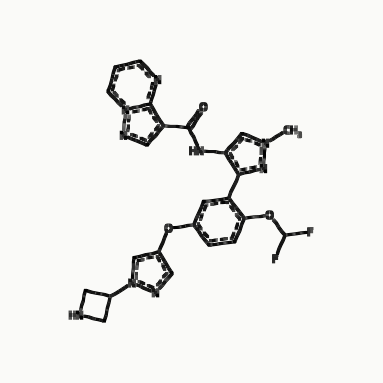 Cn1cc(NC(=O)c2cnn3cccnc23)c(-c2cc(Oc3cnn(C4CNC4)c3)ccc2OC(F)F)n1